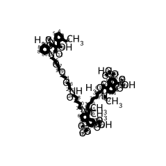 CCc1cccc2c1c(O)c(C(=O)N(CCOCCOCCOCCNC(=O)CCCCN1/C(=C/C=C/C=C/C3=[N+](CC)c4ccc5c(S(=O)(=O)O)cc(S(=O)(=O)O)cc5c4C3(C)C)C(C)(C)c3c1ccc1c(S(=O)(=O)[O-])cc(S(=O)(=O)O)cc31)c1ccccc1)c(=O)n2C